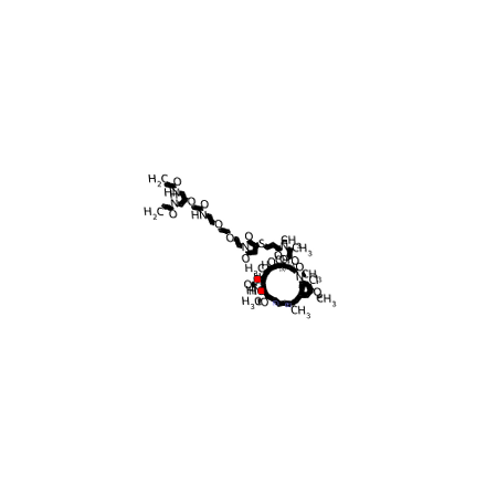 C=CC(=O)NCC(CNC(=O)C=C)OCC(=O)NCCOCCOCCN1C(=O)CC(SCCC(=O)N(C)[C@@H](C)C(=O)O[C@H]2CC(=O)N(C)c3cc(cc(OC)c3Cl)C/C(C)=C/C=C/[C@@H](OC)C3(O)C[C@H](OC(=O)N3)[C@@H](C)[C@@H]3O[C@@]23C)C1=O